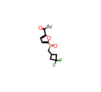 CC(=O)C(=O)c1ccc([S+]([O-])CC2CC(F)(F)C2)o1